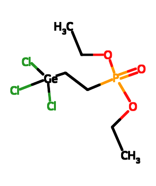 CCOP(=O)(C[CH2][Ge]([Cl])([Cl])[Cl])OCC